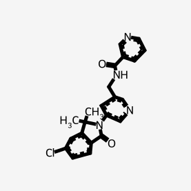 CC1(C)c2cc(Cl)ccc2C(=O)N1c1cncc(CNC(=O)c2cccnc2)c1